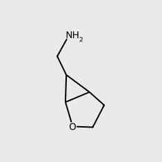 NCC1C2CCOC12